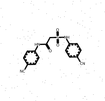 N#Cc1ccc(NC(=O)CS(=O)(=O)Nc2ccc(C#N)cc2)cc1